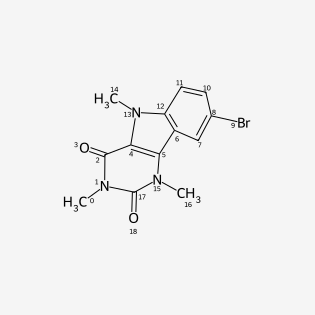 Cn1c(=O)c2c(c3cc(Br)ccc3n2C)n(C)c1=O